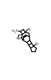 CCC12CCCC1C1C3C4C#CC(CC5(C(C)C)CC(C)[C@@]5(CN)C4)C3C12